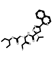 CCC(CC)OC(=O)C[C@H](NC(=O)[C@]1(C(C)C)CC(c2nccc3ccccc23)=NO1)C(=O)CF